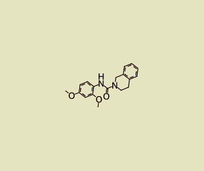 COc1ccc(NC(=O)N2CCc3ccccc3C2)c(OC)c1